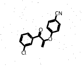 C=C(Oc1ccc(C#N)cc1)C(=O)c1cccc(Cl)c1